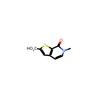 Cn1ccc2cc(C(=O)O)sc2c1=O